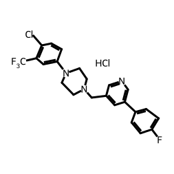 Cl.Fc1ccc(-c2cncc(CN3CCN(c4ccc(Cl)c(C(F)(F)F)c4)CC3)c2)cc1